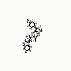 O=C(Nc1csc2ccccc12)N1CCn2ncc(-c3ccc(F)cc3)c2C1